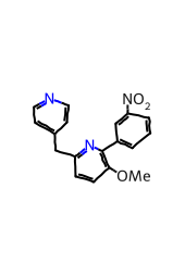 COc1ccc(Cc2ccncc2)nc1-c1cccc([N+](=O)[O-])c1